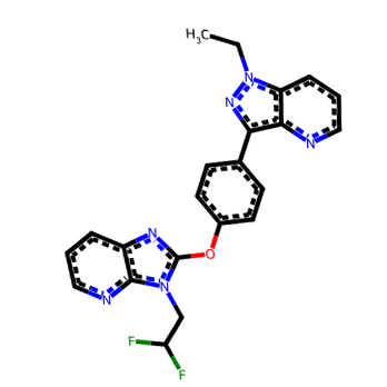 CCn1nc(-c2ccc(Oc3nc4cccnc4n3CC(F)F)cc2)c2ncccc21